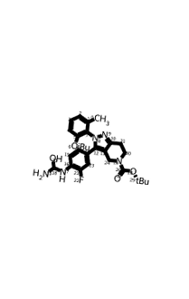 Cc1cccc(OCC(C)C)c1-n1nc2c(c1-c1ccc(NC(N)O)c(F)c1)CN(C(=O)OC(C)(C)C)CC2